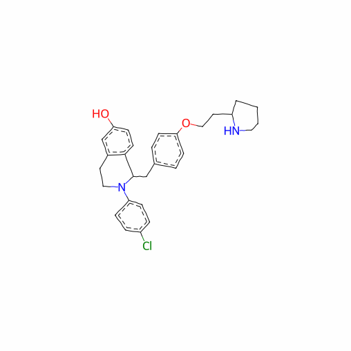 Oc1ccc2c(c1)CCN(c1ccc(Cl)cc1)C2Cc1ccc(OCCC2CCCCN2)cc1